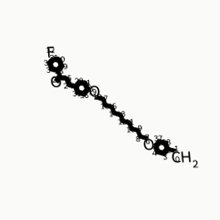 C=Cc1ccc(OCCCCCCCCCCCCOc2ccc(C=CC(=O)c3ccc(F)cc3)cc2)cc1